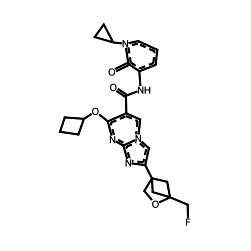 O=C(Nc1cccn(C2CC2)c1=O)c1cn2cc(C34COC(CF)(C3)C4)nc2nc1OC1CCC1